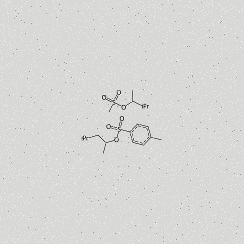 CC(C)C(C)OS(C)(=O)=O.Cc1ccc(S(=O)(=O)OC(C)CC(C)C)cc1